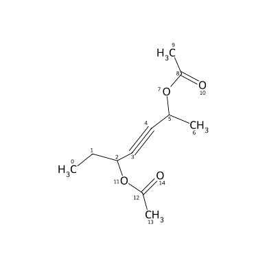 CCC(C#CC(C)OC(C)=O)OC(C)=O